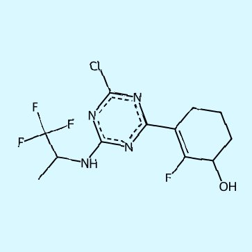 CC(Nc1nc(Cl)nc(C2=C(F)C(O)CCC2)n1)C(F)(F)F